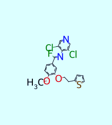 COc1ccc(C(F)=Nc2c(Cl)cncc2Cl)cc1OCCc1cccs1